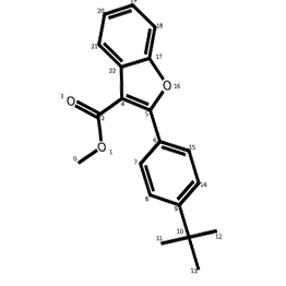 COC(=O)c1c(-c2ccc(C(C)(C)C)cc2)oc2ccccc12